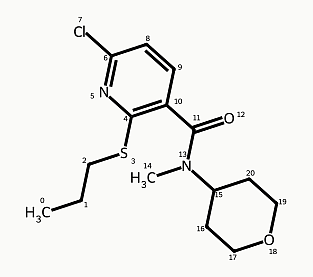 CCCSc1nc(Cl)ccc1C(=O)N(C)C1CCOCC1